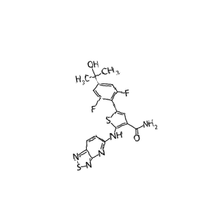 CC(C)(O)c1cc(F)c(-c2cc(C(N)=O)c(Nc3ccc4nsnc4n3)s2)c(F)c1